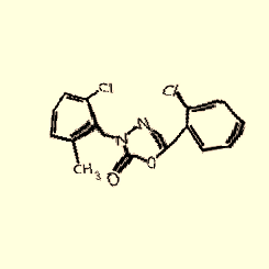 Cc1cccc(Cl)c1-n1nc(-c2ccccc2Cl)oc1=O